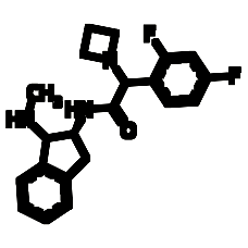 CNC1c2ccccc2C[C@@H]1NC(=O)C(c1ccc(F)cc1F)N1CCC1